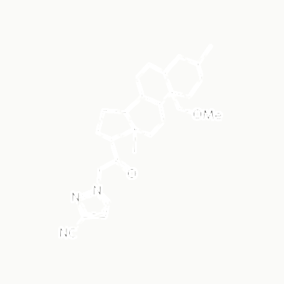 COCC12CCC(C)CC1CCC1C3CCC(C(=O)Cn4ccc(C#N)n4)C3(C)CCC12